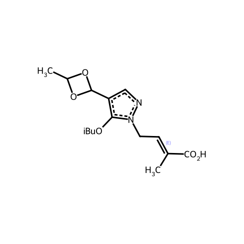 C/C(=C\Cn1ncc(C2OC(C)O2)c1OCC(C)C)C(=O)O